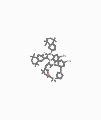 CC(C)(C)c1ccc2c(c1)-c1ccc(cc1)[Si](C)(C)C1CC(C)(C)c3cc4c(cc3C1(C)C)N2c1cc(C(C)(C)C)cc2c1B4c1c(oc3cc4c(cc13)C(C)(C)CCC4(C)C)N2c1ccc2c(c1)C(C)(C)CCC2(C)C